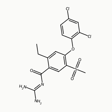 CCc1cc(Oc2ccc(Cl)cc2Cl)c(S(C)(=O)=O)cc1C(=O)N=C(N)N